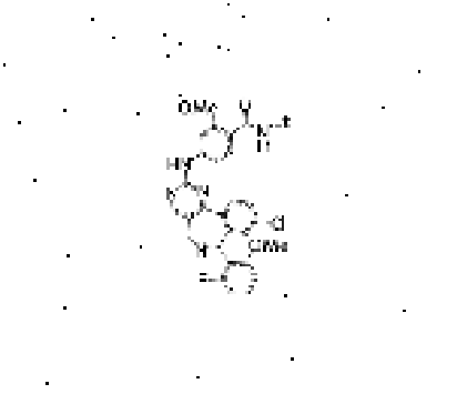 CCNC(=O)c1ccc(Nc2ncc3c(n2)-c2ccc(Cl)cc2C(c2c(F)cccc2OC)=NC3)cc1OC